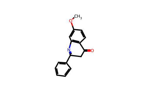 COc1ccc2c(c1)N=C(c1ccccc1)CC2=O